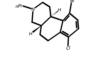 CCCN1CC[C@H]2c3c(Br)ccc(Cl)c3CC[C@@H]2C1